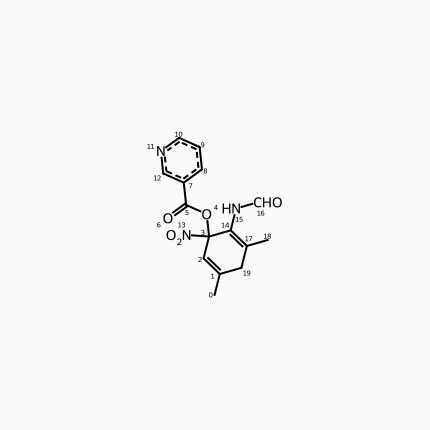 CC1=CC(OC(=O)c2cccnc2)([N+](=O)[O-])C(NC=O)=C(C)C1